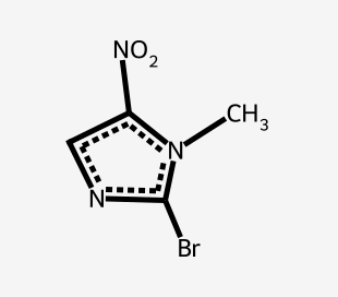 Cn1c([N+](=O)[O-])cnc1Br